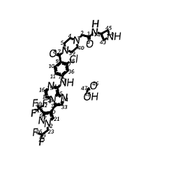 O=C(CN1CCN(C(=O)c2ccc(Nc3nccn4c(-c5cn(CC(F)F)nc5C(F)(F)F)cnc34)cc2Cl)CC1)NC1CNC1.O=CO